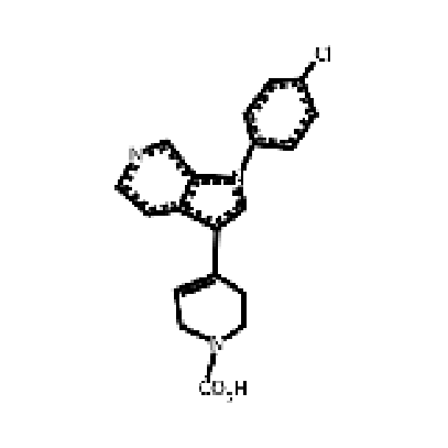 O=C(O)N1CC=C(c2cn(-c3ccc(Cl)cc3)c3cnccc23)CC1